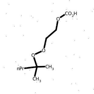 CCCC(C)(C)OOCCOC(=O)O